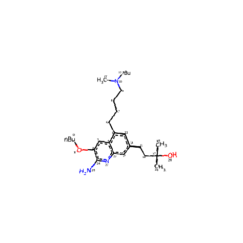 CCCCOc1cc2c(CCCCN(C)C(C)(C)C)cc(CCC(C)(C)O)cc2nc1N